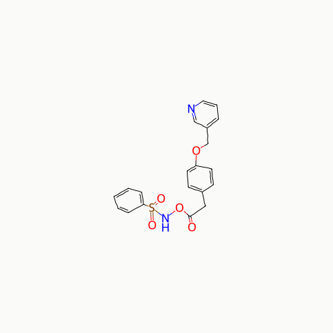 O=C(Cc1ccc(OCc2cccnc2)cc1)ONS(=O)(=O)c1ccccc1